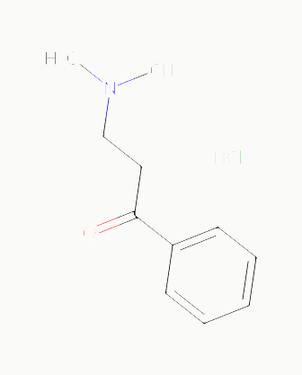 CN(C)CCC(=O)c1ccccc1.Cl